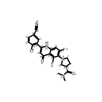 CN(C)C(=O)[C@@H]1CCN(c2c(F)cc3[nH]c(-c4cc(C#N)ccc4Cl)cc(=O)c3c2F)C1